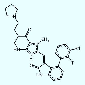 Cc1c(/C=C2\C(=O)Nc3cccc(-c4cccc(Cl)c4F)c32)[nH]c2c1C(=O)C(CCN1CCCC1)CN2